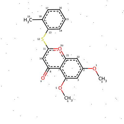 COc1cc(OC)c2c(=O)cc(Sc3ccccc3C)oc2c1